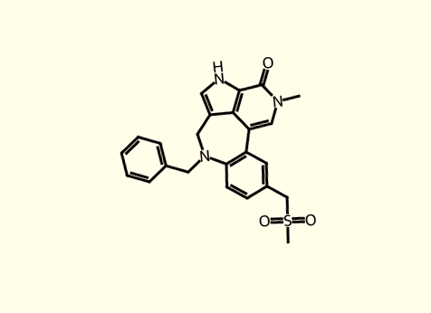 Cn1cc2c3c(c[nH]c3c1=O)CN(Cc1ccccc1)c1ccc(CS(C)(=O)=O)cc1-2